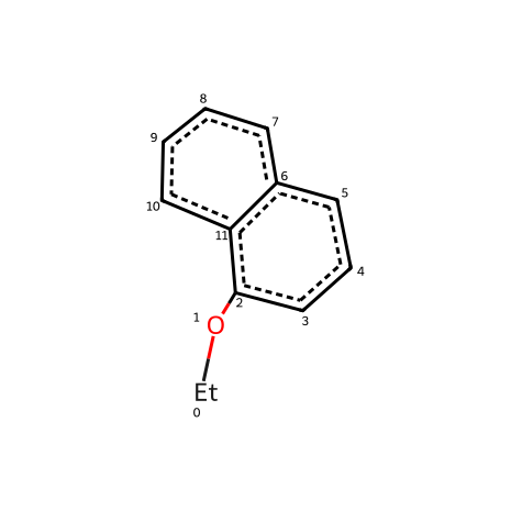 [CH2]COc1cccc2ccccc12